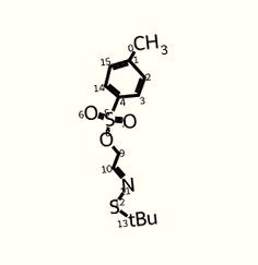 Cc1ccc(S(=O)(=O)OC/C=N/SC(C)(C)C)cc1